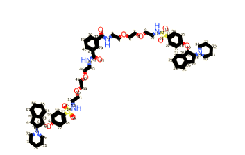 O=C(NCCOCCOCCNS(=O)(=O)c1ccc(O[C@H]2c3ccccc3CC2N2CCCCC2)cc1)c1cccc(C(=O)NCCOCCOCCNS(=O)(=O)c2ccc(O[C@H]3c4ccccc4C[C@@H]3N3CCCCC3)cc2)c1